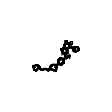 O=c1ncc2cnc(Nc3ccc(N4CCC(CCCN5CCOCC5)CC4)cc3)nc2n1C1CC2CCC1C2